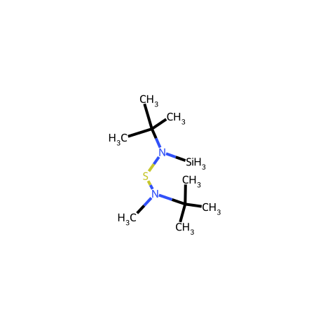 CN(SN([SiH3])C(C)(C)C)C(C)(C)C